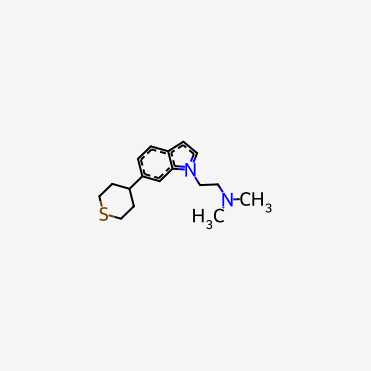 CN(C)CCn1ccc2ccc(C3CCSCC3)cc21